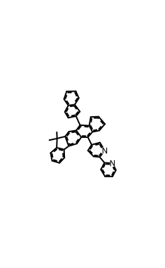 CC1(C)c2ccccc2-c2cc3c(-c4ccc(-c5ccccn5)nc4)c4ccccc4c(-c4ccc5ccccc5c4)c3cc21